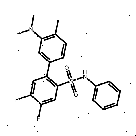 Cc1ccc(-c2cc(F)c(F)cc2S(=O)(=O)Nc2ccccc2)cc1N(C)C